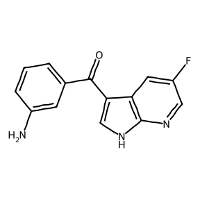 Nc1cccc(C(=O)c2c[nH]c3ncc(F)cc23)c1